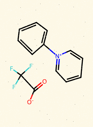 O=C([O-])C(F)(F)F.c1ccc(-[n+]2ccccc2)cc1